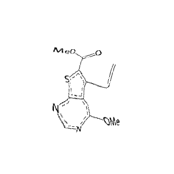 C=Cc1c(C(=O)OC)sc2ncnc(OC)c12